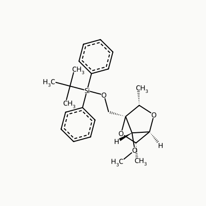 CO[C@H]1[C@H]2O[C@@H](C)[C@]1(CO[Si](c1ccccc1)(c1ccccc1)C(C)(C)C)O[C@H]2C